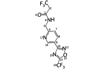 O=C(CC(F)(F)F)NCc1ccc(-c2noc(C(F)(F)F)n2)cn1